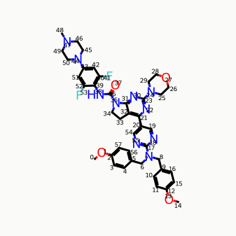 COc1ccc(CN(Cc2ccc(OC)cc2)c2ncc(-c3nc(N4CCOCC4)nc4c3CCN4C(=O)Nc3c(F)cc(N4CCN(C)CC4)cc3F)cn2)cc1